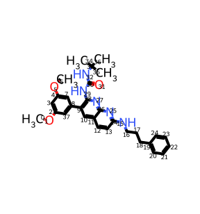 COc1cc(OC)cc(-c2cc3ccc(NCCCc4ccccc4)nc3nc2NC(=O)NC(C)(C)C)c1